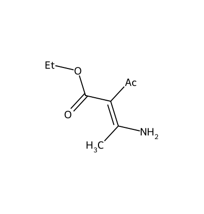 CCOC(=O)/C(C(C)=O)=C(\C)N